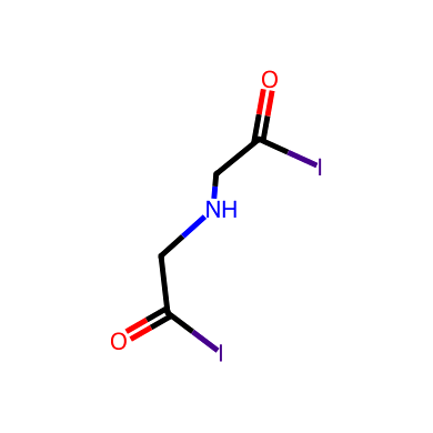 O=C(I)CNCC(=O)I